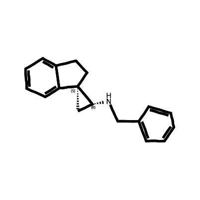 c1ccc(CN[C@@H]2C[C@]23CCc2ccccc23)cc1